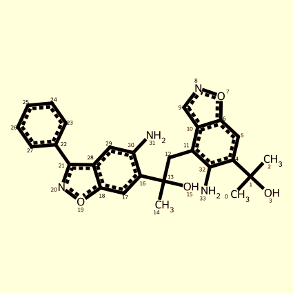 CC(C)(O)c1cc2oncc2c(CC(C)(O)c2cc3onc(-c4ccccc4)c3cc2N)c1N